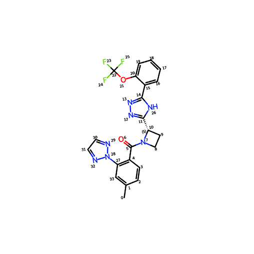 Cc1ccc(C(=O)N2CC[C@H]2c2nnc(-c3ccccc3OC(F)(F)F)[nH]2)c(-n2nccn2)c1